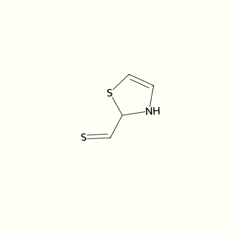 S=CC1NC=CS1